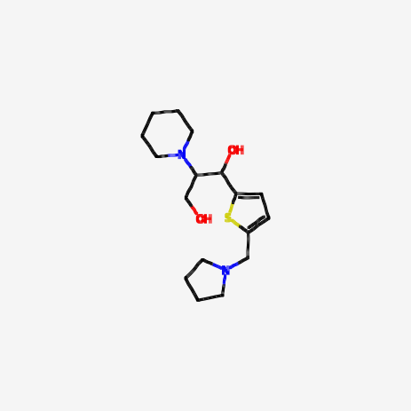 OCC(C(O)c1ccc(CN2CCCC2)s1)N1CCCCC1